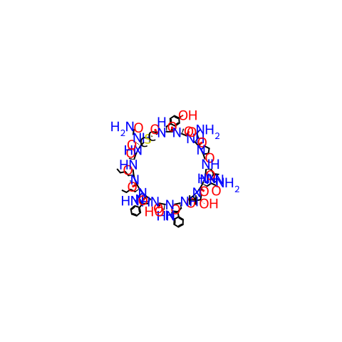 CCCC[C@H]1C(=O)N(C)[C@@H](CCCC)C(=O)N[C@@H](C)C(=O)N[C@H](C(=O)NCC(N)=O)CSCC(=O)N[C@@H](Cc2ccc(O)cc2)C(=O)N(C)[C@@H](C)C(=O)N[C@@H](CC(N)=O)C(=O)N2CCCC2C(=O)N[C@@H](Cc2cnc[nH]2)C(=O)N[C@@H](CCC(N)=O)C(=O)N2C[C@H](O)C[C@H]2C(=O)N[C@@H](Cc2c[nH]c3ccccc23)C(=O)N[C@@H](CO)C(=O)N[C@@H](Cc2n[nH]c3ccccc23)C(=O)N1C